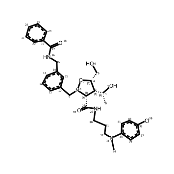 C[C@@H](O)[C@H]1[C@@H](CO)ON(Cc2cccc(CNC(=O)c3ccccc3)c2)[C@H]1C(=O)NCCCN(C)c1ccc(Cl)cc1